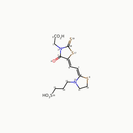 O=C(O)CN1C(=O)C(=CC=C2SCCN2CCCS(=O)(=O)O)SC1=S